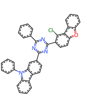 Clc1c(-c2nc(-c3ccccc3)nc(-c3ccc4c5ccccc5n(-c5ccccc5)c4c3)n2)ccc2oc3ccccc3c12